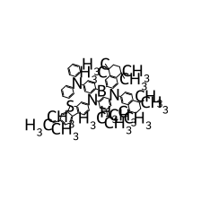 CC(C)(C)c1cc2c3c(c1)N(c1ccc4c(c1)C(C)(C)CCC4(C)C)c1cc4c(cc1B3c1ccc(N(c3ccccc3)c3ccccc3)cc1N2c1ccc2c(c1)sc1cc(C(C)(C)C)ccc12)C(C)(C)CCC4(C)C